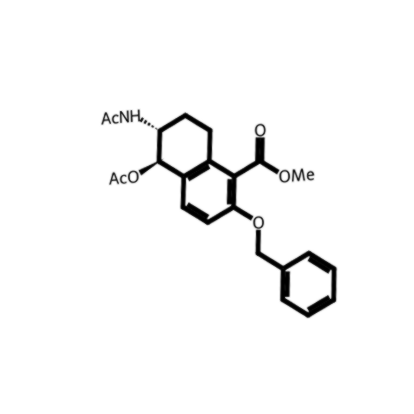 COC(=O)c1c(OCc2ccccc2)ccc2c1CC[C@@H](NC(C)=O)[C@@H]2OC(C)=O